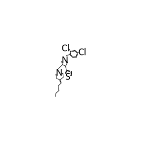 CCCCC=C1CCN(CC2CN(Cc3ccc(Cl)cc3Cl)CC2c2ccsc2)CC1